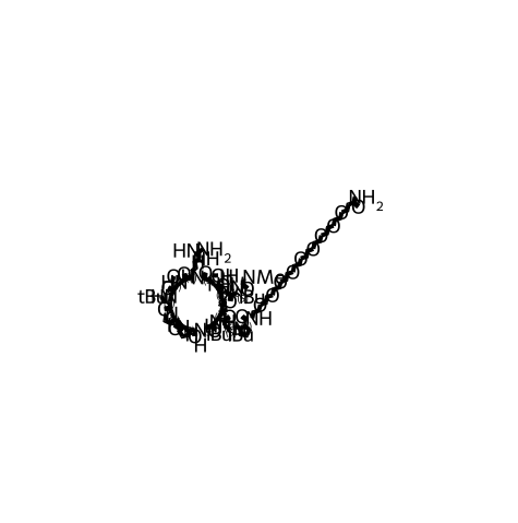 CC[C@H](C)[C@H](NC(=O)CNC)C(=O)N[C@H]1SSC(C)(C)[C@@H](C(=O)N[C@H](CN2CCC[C@H]2C(=O)NCCOCCOCCOCCOCCOCCOCCOCCOCCOCCC(N)=O)[C@@H](C)CC)NC(=O)[C@H]([C@@H](C)CC)NC(=O)[C@@H]2CCCN2C(=O)[C@@H]2CCCN2C(=O)[C@H](CC(C)(C)C)NC(=O)[C@H](CO)NC(=O)[C@H](CCCNC(=N)N)NC(=O)[C@H](CO)NC1=O